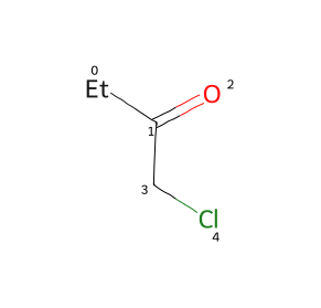 CCC(=O)CCl